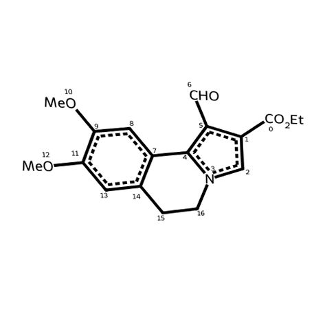 CCOC(=O)c1cn2c(c1C=O)-c1cc(OC)c(OC)cc1CC2